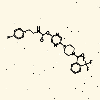 O=C(NCCc1ccc(F)cc1)Oc1cnc(N2CCN(C(=O)c3ccccc3C(F)(F)F)CC2)cn1